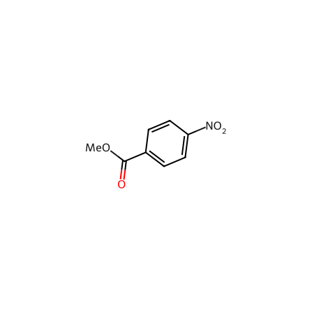 [CH2]OC(=O)c1ccc([N+](=O)[O-])cc1